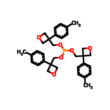 Cc1ccc(C2(COP(OCC3(c4ccc(C)cc4)COC3)OCC3(c4ccc(C)cc4)COC3)COC2)cc1